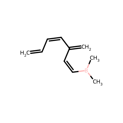 C=C/C=C\C(=C)/C=C\B(C)C